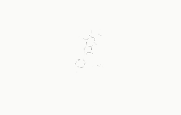 COCc1cc(Cl)ccc1-n1cc2c(=O)[nH]c(N3CC(F)(F)C3)nc2n1